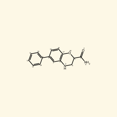 NC(=O)C1CNc2cc(-c3ccccc3)ccc2O1